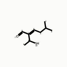 CC(C)CC=C(C=O)C(C)S